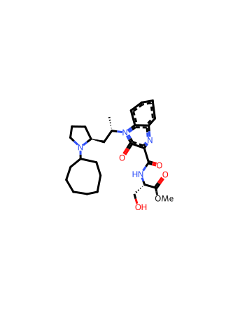 COC(=O)[C@H](CO)NC(=O)c1nc2ccccc2n([C@@H](C)C[C@@H]2CCCN2C2CCCCCCC2)c1=O